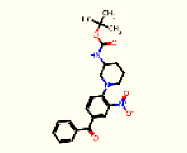 CC(C)(C)OC(=O)NC1CCCN(c2ccc(C(=O)c3ccccc3)cc2[N+](=O)[O-])C1